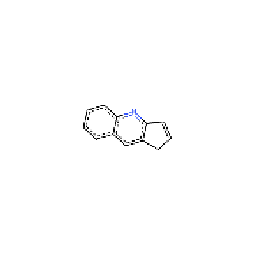 C1=Cc2nc3ccccc3cc2C1